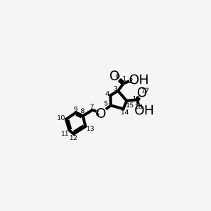 O=C(O)C1CC(OCc2ccccc2)CC1C(=O)O